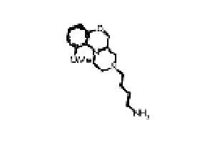 COc1cccc2c1N1CCN(CCCCN)CC1CO2